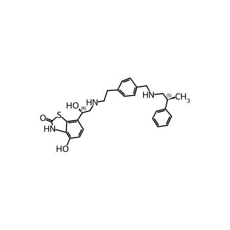 C[C@H](CNCc1ccc(CCNC[C@H](O)c2ccc(O)c3[nH]c(=O)sc23)cc1)c1ccccc1